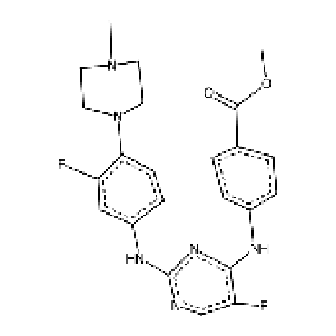 COC(=O)c1ccc(Nc2nc(Nc3ccc(N4CCN(C)CC4)c(F)c3)ncc2F)cc1